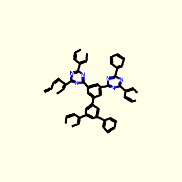 C=C/C=C\C(=C/C)c1nc(C(/C=C\C)=C/C)nc(-c2cc(-c3cc(C(/C=C\C)=C/C)cc(-c4ccccc4)c3)cc(-c3nc(C(/C=C\C)=C/C)nc(-c4ccccc4)n3)c2)n1